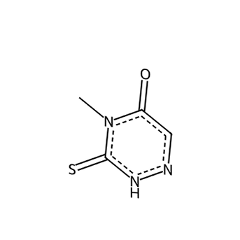 Cn1c(=O)cn[nH]c1=S